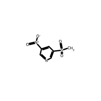 CS(=O)(=O)c1cncc([N+](=O)[O-])c1